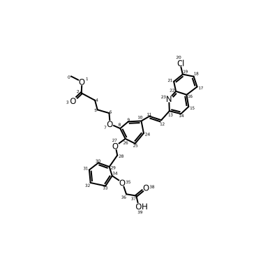 COC(=O)CCCOc1cc(C=Cc2ccc3ccc(Cl)cc3n2)ccc1OCc1ccccc1OCC(=O)O